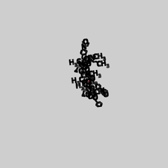 CCC[C@H](NC)C(=O)O[C@H](Cc1ccc(N2CCOCC2)cc1)C(=O)N(C)[C@@H](CC1CC1)C(=O)O[C@H](C)C(=O)N(C)[C@@H](CC(C)(C)F)C(=O)O[C@H](Cc1ccc(N2CCOCC2)cc1)C(=O)N(C)[C@@H](CC1CC1)C(=O)O[C@H](C)C(=O)OCc1ccccc1